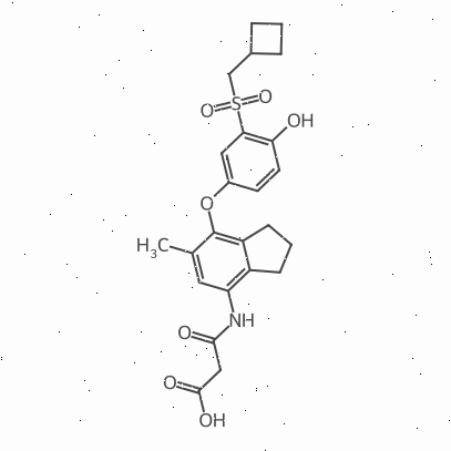 Cc1cc(NC(=O)CC(=O)O)c2c(c1Oc1ccc(O)c(S(=O)(=O)CC3CCC3)c1)CCC2